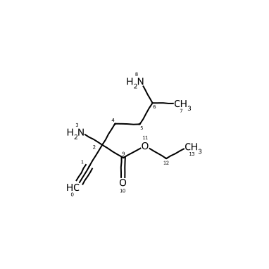 C#CC(N)(CCC(C)N)C(=O)OCC